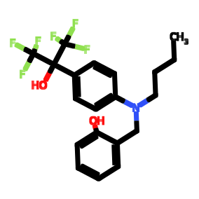 CCCCN(Cc1ccccc1O)c1ccc(C(O)(C(F)(F)F)C(F)(F)F)cc1